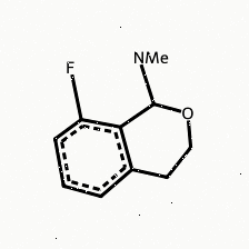 CNC1OCCc2cccc(F)c21